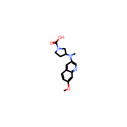 COc1ccc2cc(N(C)C3CCN(C(=O)O)C3)cnc2c1